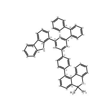 BC1(B)Oc2ccccc2-c2c(-c3ccc(-c4nc(-c5ccccc5-c5ccccc5)nc(-c5cccc6c5oc5ccccc56)n4)cc3)cccc21